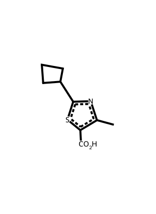 Cc1nc(C2CCC2)sc1C(=O)O